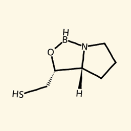 SC[C@@H]1OBN2CCC[C@H]12